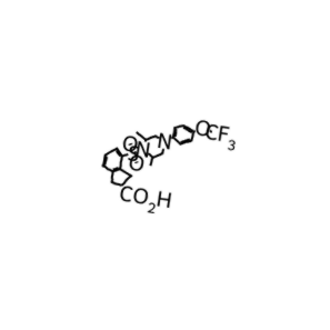 CC1CN(c2ccc(OC(F)(F)F)cc2)CC(C)N1S(=O)(=O)c1cccc2c1CC(C(=O)O)C2